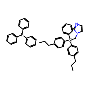 CCCc1ccc([Si](Cn2ccnc2)(c2ccccc2)c2ccc(CCC)cc2)cc1.c1ccc(B(c2ccccc2)c2ccccc2)cc1